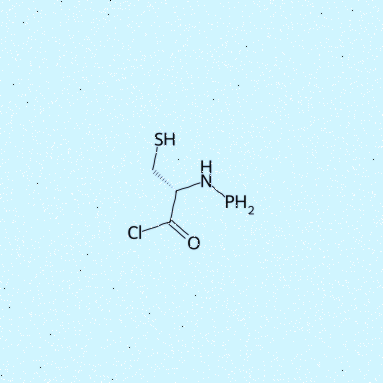 O=C(Cl)[C@H](CS)NP